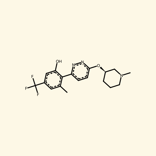 Cc1cc(C(F)(F)F)cc(O)c1-c1ccc(O[C@@H]2CCCN(C)C2)nn1